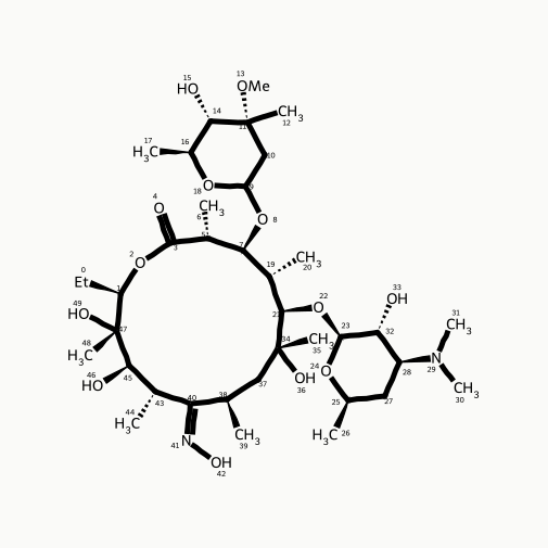 CC[C@H]1OC(=O)[C@H](C)[C@@H](OC2C[C@@](C)(OC)[C@@H](O)[C@H](C)O2)[C@H](C)[C@@H](O[C@@H]2O[C@H](C)C[C@H](N(C)C)[C@H]2O)[C@](C)(O)C[C@@H](C)/C(=N\O)[C@H](C)[C@@H](O)[C@]1(C)O